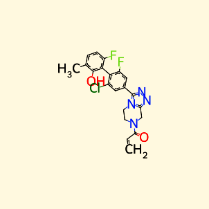 C=CC(=O)N1CCn2c(nnc2-c2cc(F)c(-c3c(F)ccc(C)c3O)c(Cl)c2)C1